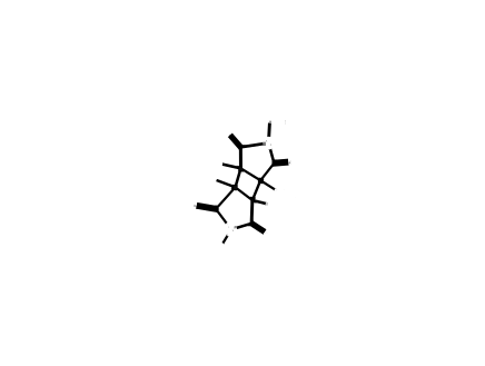 CCN1C(=O)C2(C)C3(C)C(=O)N(C)C(=O)C3(C)C2(C)C1=O